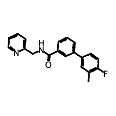 Cc1cc(-c2cccc(C(=O)NCc3ccccn3)c2)ccc1F